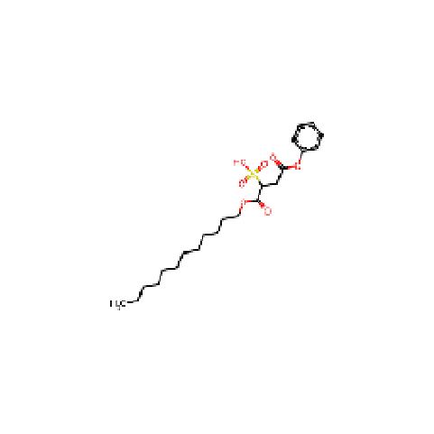 CCCCCCCCCCCCOC(=O)C(CC(=O)Oc1ccccc1)S(=O)(=O)O